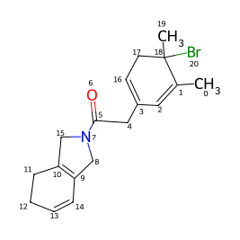 CC1=CC(CC(=O)N2CC3=C(CCC=C3)C2)=CCC1(C)Br